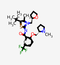 Cc1c(C(C)(C)C)sc(=NC(=O)c2cc(C(F)(F)F)ccc2OC[C@@H]2CCCN2C)n1C[C@H]1CCCO1